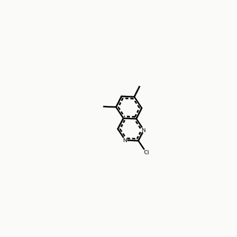 Cc1cc(C)c2cnc(Cl)nc2c1